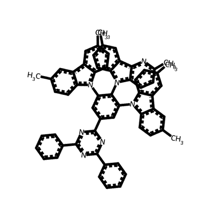 Cc1ccc2c(c1)c1cc(C)ccc1n2-c1cc(-c2nc(-c3ccccc3)nc(-c3ccccc3)n2)cc(-n2c3ccc(C)cc3c3cc(C)ccc32)c1-n1c2ccc(C)cc2c2nc(C)ccc21